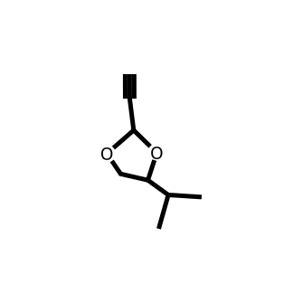 C#CC1OCC(C(C)C)O1